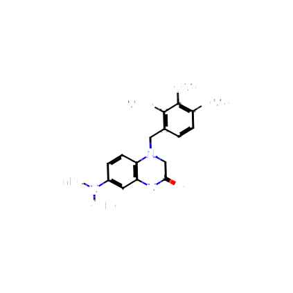 CCCCN(C=O)c1ccc2c(c1)NC(=O)CN2Cc1ccc(OC)c(OC)c1OC